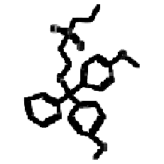 CCCS(=O)(=O)CCOC(c1ccccc1)(c1ccc(OC)cc1)c1ccc(OC)cc1